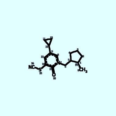 C[C@@H]1CCCC1Cn1cc(C2CC2)cc(SC#N)c1=O